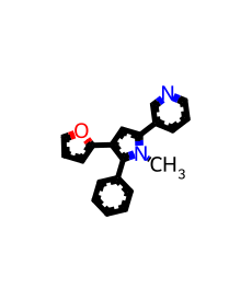 Cn1c(-c2cccnc2)cc(-c2ccco2)c1-c1ccccc1